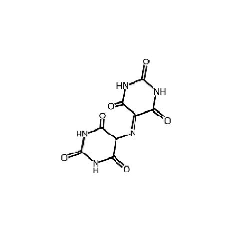 O=C1NC(=O)C(=NC2C(=O)NC(=O)NC2=O)C(=O)N1